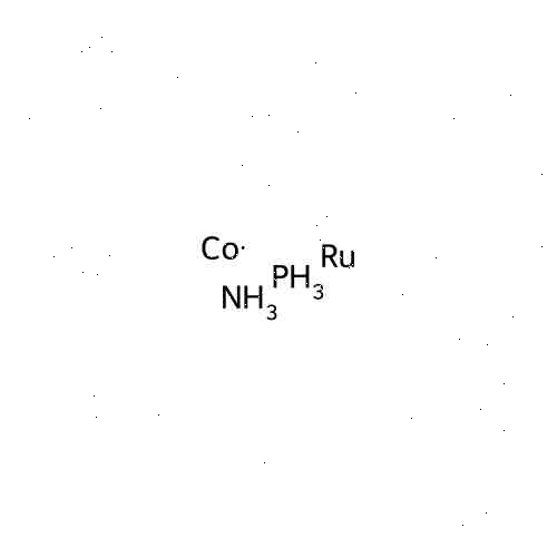 N.P.[Co].[Ru]